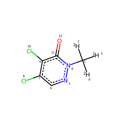 [2H]C([2H])([2H])n1ncc(Cl)c(Cl)c1=O